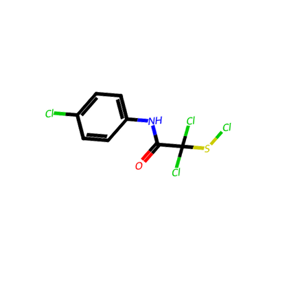 O=C(Nc1ccc(Cl)cc1)C(Cl)(Cl)SCl